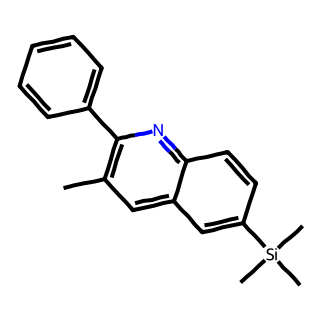 Cc1cc2cc([Si](C)(C)C)ccc2nc1-c1ccccc1